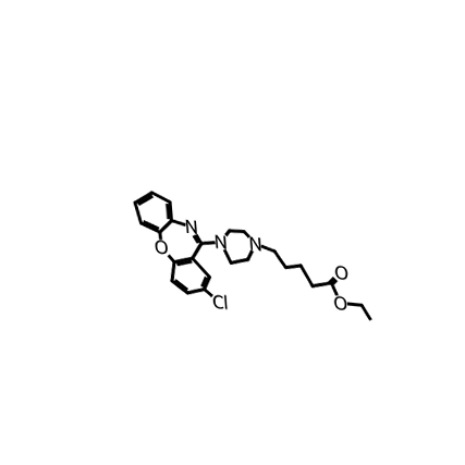 CCOC(=O)CCCCN1CCN(C2=Nc3ccccc3Oc3ccc(Cl)cc32)CC1